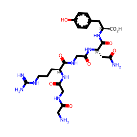 N=C(N)NCCC[C@H](NC(=O)CNC(=O)CN)C(=O)NCC(=O)N[C@@H](CC(N)=O)C(=O)N[C@@H](Cc1ccc(O)cc1)C(=O)O